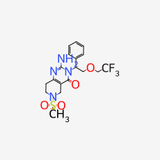 CS(=O)(=O)N1CCc2nc(N)n(C(COCC(F)(F)F)c3ccccc3)c(=O)c2C1